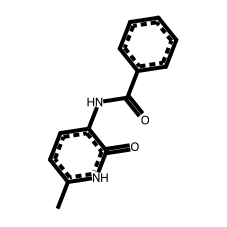 Cc1ccc(NC(=O)c2ccccc2)c(=O)[nH]1